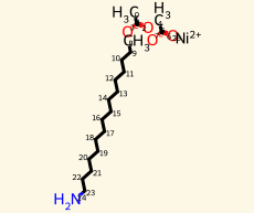 CC(=O)[O-].CC(=O)[O-].CCCCCCCCCCCCCCCCN.[Ni+2]